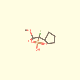 COC(=O)C(F)(C1CCCC1)S(=O)(=O)O